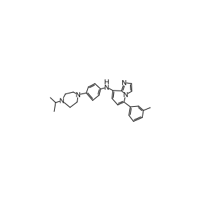 Cc1cccc(-c2ccc(Nc3ccc(N4CCN(C(C)C)CC4)cc3)c3nccn23)c1